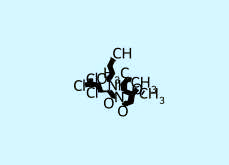 C#CCCC(=O)N[C@H](CCC(Cl)(Cl)Cl)C(=O)N1C(=O)C=C(OC)C1CC(C)C